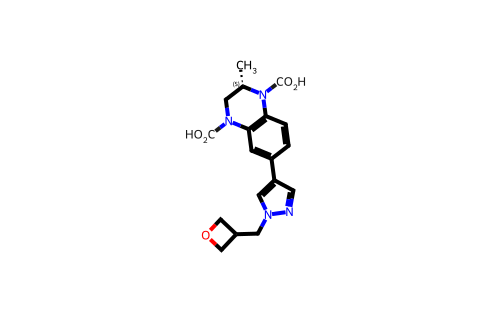 C[C@H]1CN(C(=O)O)c2cc(-c3cnn(CC4COC4)c3)ccc2N1C(=O)O